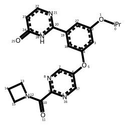 CC(C)Oc1cc(Oc2cnc(C(=O)N3CCC3)nc2)cc(-c2nccc(=O)[nH]2)c1